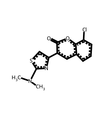 CN(C)c1nc(-c2cc3cccc(Cl)c3oc2=O)cs1